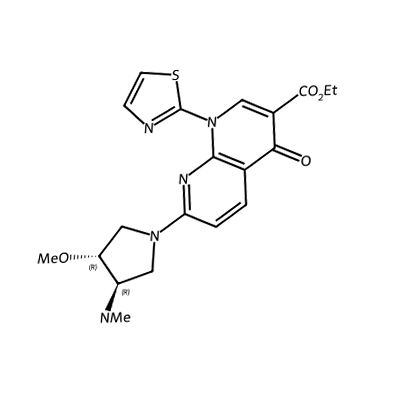 CCOC(=O)c1cn(-c2nccs2)c2nc(N3C[C@@H](NC)[C@H](OC)C3)ccc2c1=O